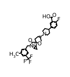 Cc1cc(CNC(=O)[C@@]2(C3CC3)CC[C@@H](N3CCC(c4ccc(F)c(C(=O)O)c4)CC3)CO2)cc(C(F)(F)F)c1